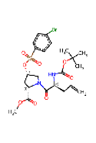 C=CC[C@H](NC(=O)OC(C)(C)C)C(=O)N1C[C@@H](OS(=O)(=O)c2ccc(Br)cc2)C[C@H]1C(=O)OC